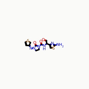 Nc1nc(C([C]=O)NC(=O)N2CCN(N=C3C=CSC3)C2=O)cs1